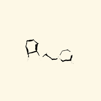 Fc1c[c]ccc1OCCN1CCOCC1